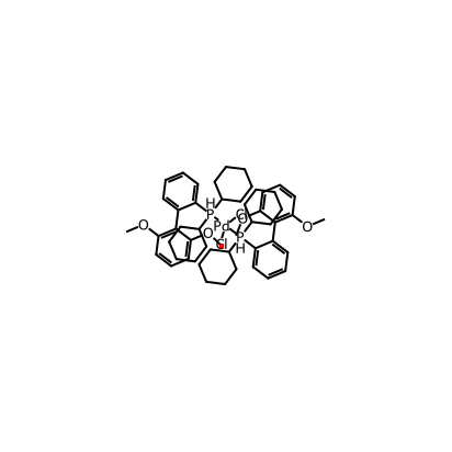 COc1cccc(OC)c1-c1ccccc1[PH](C1CCCCC1)(C1CCCCC1)[Pd]([Cl])([Cl])[PH](c1ccccc1-c1c(OC)cccc1OC)(C1CCCCC1)C1CCCCC1